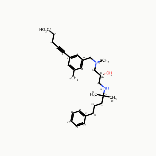 Cc1cc(C#CCCC(=O)O)cc(CN(C)C[C@H](O)CNC(C)(C)CCCc2ccccc2)c1